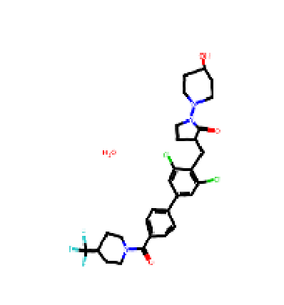 O.O=C(c1ccc(-c2cc(Cl)c(CC3CCN(N4CCC(O)CC4)C3=O)c(Cl)c2)cc1)N1CCC(C(F)(F)F)CC1